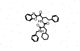 O=C(c1nc2ccccc2o1)C(CCc1ccccc1)NC(=O)C(CC1CCCCC1)C(=O)NCc1ccccc1